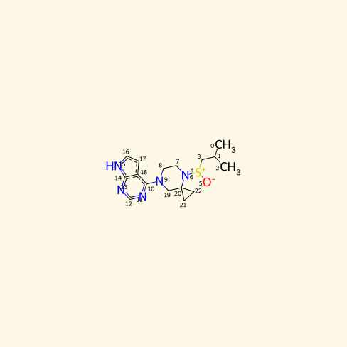 CC(C)C[S+]([O-])N1CCN(c2ncnc3[nH]ccc23)CC12CC2